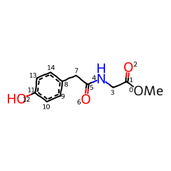 COC(=O)CNC(=O)Cc1ccc(O)cc1